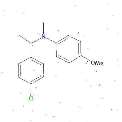 COc1ccc(N(C)C(C)c2ccc(Cl)cc2)cc1